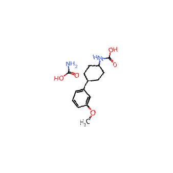 COc1cccc(C2CCC(NC(=O)O)CC2)c1.NC(=O)O